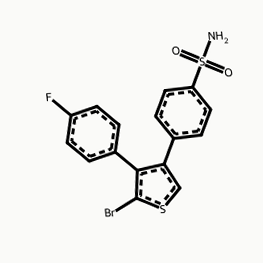 NS(=O)(=O)c1ccc(-c2csc(Br)c2-c2ccc(F)cc2)cc1